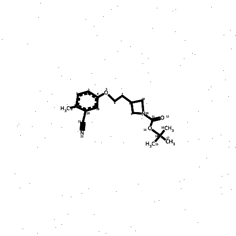 Cc1ccc(OCCC2CN(C(=O)OC(C)(C)C)C2)cc1C#N